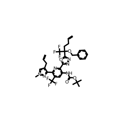 C=CCCC(OCc1ccccc1)(c1nnc(-c2nc(-c3nn(C)cc3CC=C)c(C(F)(F)F)cc2NC(=O)OC(C)(C)C)o1)C(F)(F)F